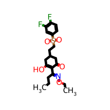 CCCC(=NOCC)C1=C(O)CC(CCS(=O)(=O)c2ccc(F)c(F)c2)CC1=O